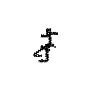 CCCCCCCC/C=C\CCCCCCCC(=O)OCC(COC(=O)CCCCCCC/C=C\CCCCCCCC)OC(=O)CC(C)CCCCCCCc1c(OC)cc(CO)cc1OC